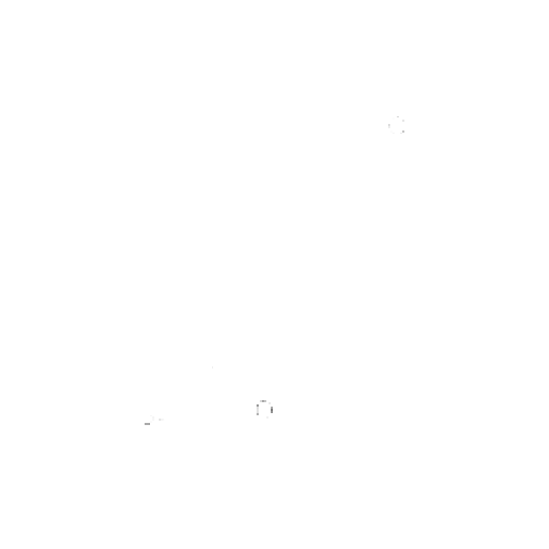 CC(C)CC(=O)CCCC[O]